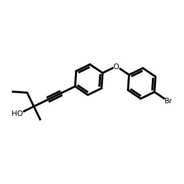 CCC(C)(O)C#Cc1ccc(Oc2ccc(Br)cc2)cc1